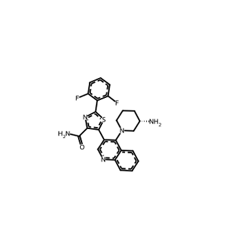 NC(=O)c1nc(-c2c(F)cccc2F)sc1-c1cnc2ccccc2c1N1CCC[C@H](N)C1